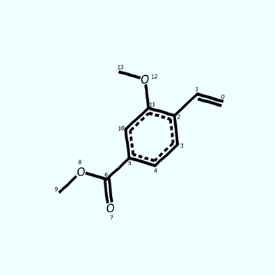 C=Cc1ccc(C(=O)OC)cc1OC